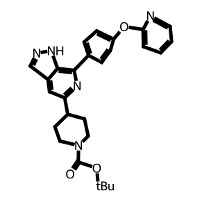 CC(C)(C)OC(=O)N1CCC(c2cc3cn[nH]c3c(-c3ccc(Oc4ccccn4)cc3)n2)CC1